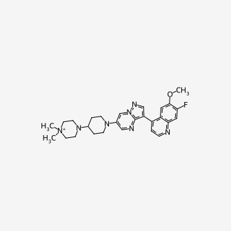 COc1cc2c(-c3cnn4cc(N5CCC(N6CC[N+](C)(C)CC6)CC5)cnc34)ccnc2cc1F